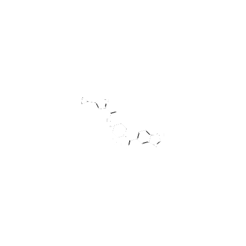 C[C@@H]1C[C@H](NC(=O)c2cc(C3CC3)on2)CCN1C(=O)c1ccc2[nH]cnc2c1